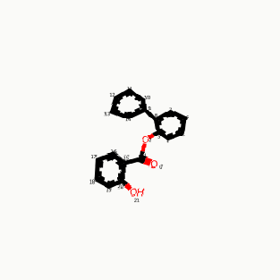 O=C(Oc1ccccc1-c1ccccc1)c1ccccc1O